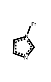 C[C](C)n1ccnc1